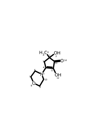 CC1(O)CC(N2CCOCC2)=C(O)C1=O